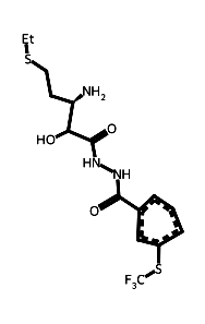 CCSCC[C@@H](N)C(O)C(=O)NNC(=O)c1cccc(SC(F)(F)F)c1